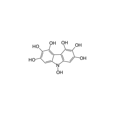 Oc1cc2c(c(O)c1O)c1c(O)c(O)c(O)cc1n2O